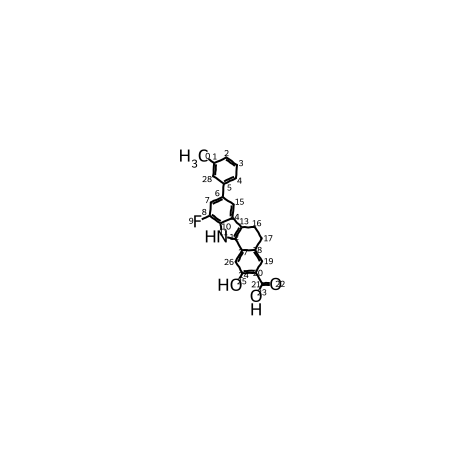 Cc1cccc(-c2cc(F)c3[nH]c4c(c3c2)CCc2cc(C(=O)O)c(O)cc2-4)c1